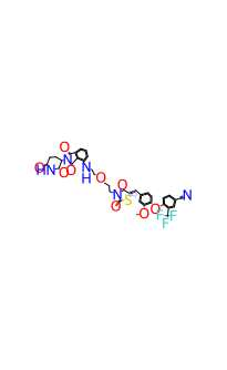 COc1cc(/C=C2\SC(=O)N(CCCOCCNc3cccc4c3C(=O)N(C3CCC(=O)NC3=O)C4=O)C2=O)ccc1Oc1ccc(C#N)cc1C(F)(F)F